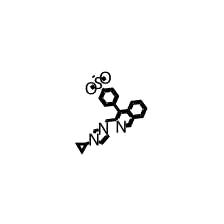 CS(=O)(=O)c1ccc(-c2c(CN3C=CN(C4CC4)C3)ncc3ccccc23)cc1